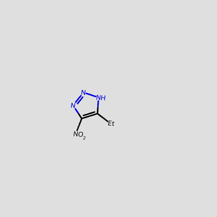 CCc1[nH]nnc1[N+](=O)[O-]